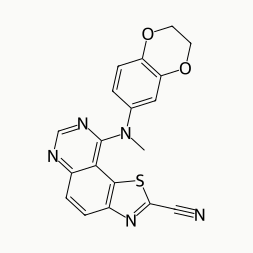 CN(c1ccc2c(c1)OCCO2)c1ncnc2ccc3nc(C#N)sc3c12